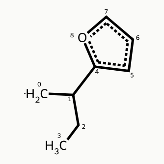 [CH2]C(CC)c1ccco1